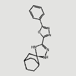 c1ccc(-c2nnc(C3=NN[C@@]4(CC5CCC4CC5)N3)o2)cc1